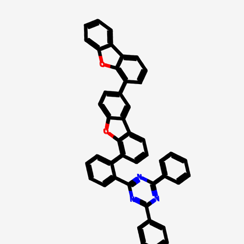 c1ccc(-c2nc(-c3ccccc3)nc(-c3ccccc3-c3cccc4c3oc3ccc(-c5cccc6c5oc5ccccc56)cc34)n2)cc1